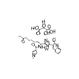 CCC(=O)CCCCC[C@H](NC(=O)C1CN(C)C1)c1ncc(-c2cc3ccccc3nc2OC)[nH]1.O=C(O)C(O)C(O)C(=O)O